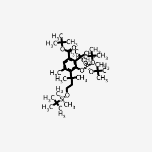 Cc1cc(C(=O)OC(C)(C)C)c(C(C)(C)C)c(OP(=O)(OC(C)(C)C)OC(C)(C)C)c1C(C)(C)CCO[Si](C)(C)C(C)(C)C